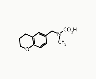 O=C(O)N(Cc1ccc2c(c1)CCCO2)C(F)(F)F